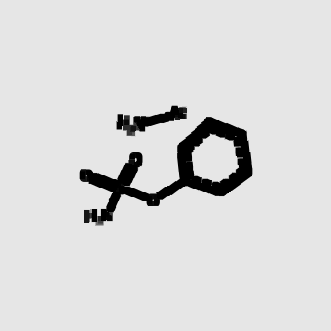 CC(N)=O.NS(=O)(=O)Oc1ccccc1